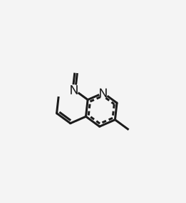 C=Nc1ncc(C)cc1/C=C\C